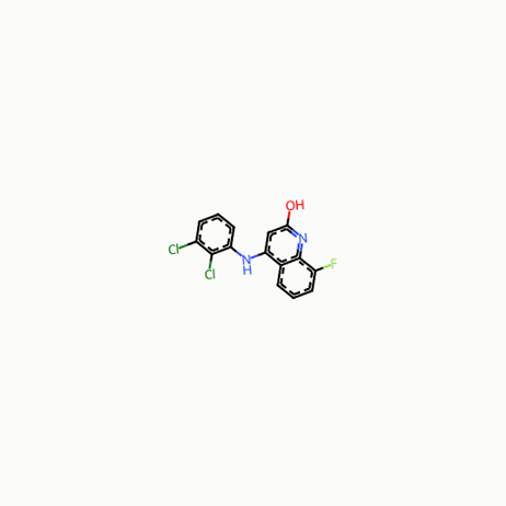 Oc1cc(Nc2cccc(Cl)c2Cl)c2cccc(F)c2n1